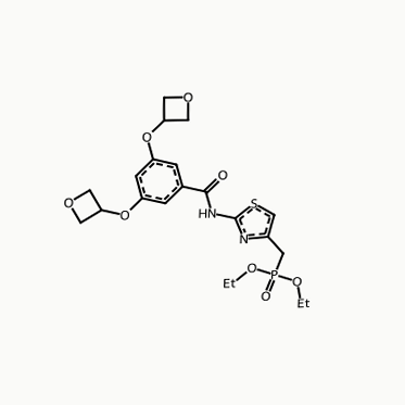 CCOP(=O)(Cc1csc(NC(=O)c2cc(OC3COC3)cc(OC3COC3)c2)n1)OCC